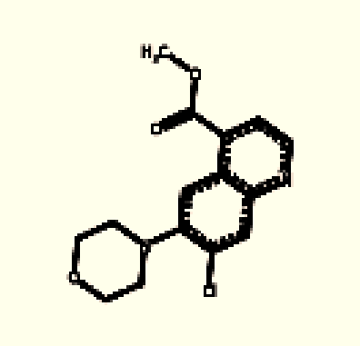 COC(=O)c1ccnc2cc(Cl)c(N3CCOCC3)cc12